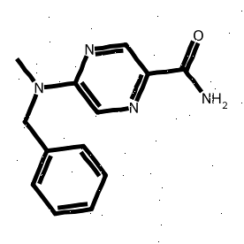 CN(Cc1ccccc1)c1cnc(C(N)=O)cn1